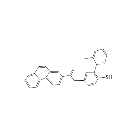 C=C(Cc1ccc(S)c(-c2ccccc2C)c1)c1ccc2c(ccc3ccccc32)c1